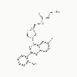 CC(C)(C)COC(=O)NC[C@@H]1CCN(c2nc(-c3ccccc3O)nc3ccc(F)cc23)C1